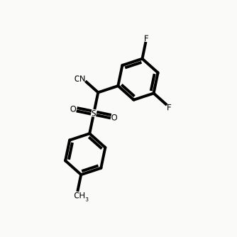 [C-]#[N+]C(c1cc(F)cc(F)c1)S(=O)(=O)c1ccc(C)cc1